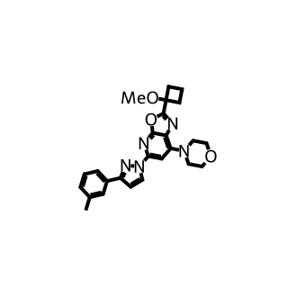 COC1(c2nc3c(N4CCOCC4)cc(-n4ccc(-c5cccc(C)c5)n4)nc3o2)CCC1